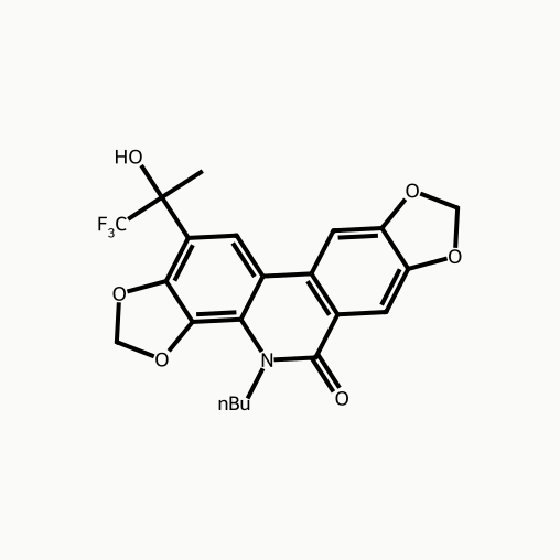 CCCCn1c(=O)c2cc3c(cc2c2cc(C(C)(O)C(F)(F)F)c4c(c21)OCO4)OCO3